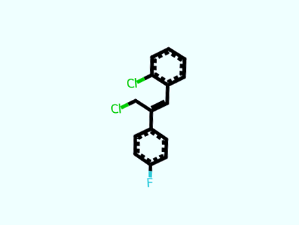 Fc1ccc(C(=Cc2ccccc2Cl)CCl)cc1